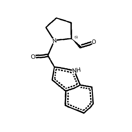 O=C[C@@H]1CCCN1C(=O)c1cc2ccccc2[nH]1